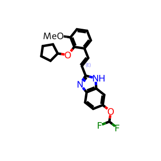 COc1cccc(/C=C/c2nc3ccc(OC(F)F)cc3[nH]2)c1OC1CCCC1